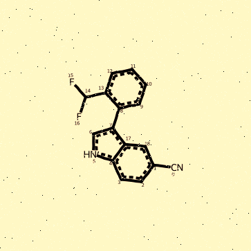 N#Cc1ccc2[nH]cc(-c3ccccc3C(F)F)c2c1